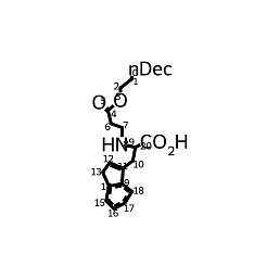 CCCCCCCCCCCCOC(=O)CCNC(CC1=CCc2ccccc21)C(=O)O